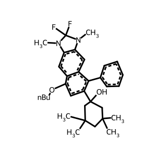 CCCCOc1cc(C2(O)CC(C)(C)CC(C)(C)C2)c(-c2ccccc2)c2cc3c(cc12)N(C)C(F)(F)N3C